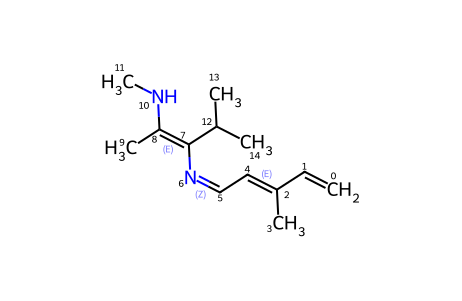 C=C/C(C)=C/C=N\C(=C(/C)NC)C(C)C